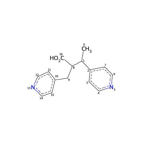 CC(c1ccncc1)C(Cc1ccncc1)C(=O)O